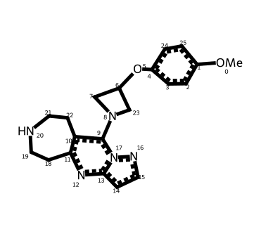 COc1ccc(OC2CN(c3c4c(nc5ccnn35)CCNCC4)C2)cc1